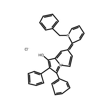 OC1=C(c2ccccc2)C(c2ccccc2)=[n+]2ccc(=C3C=CC=CN3Cc3ccccc3)cc21.[Cl-]